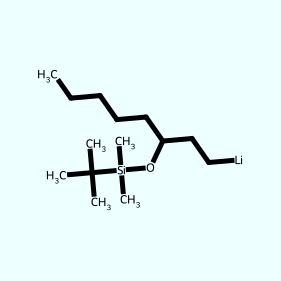 [Li][CH2]CC(CCCCC)O[Si](C)(C)C(C)(C)C